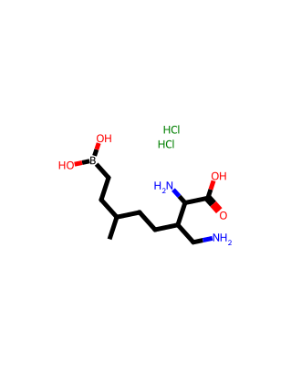 CC(CCB(O)O)CCC(CN)C(N)C(=O)O.Cl.Cl